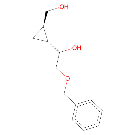 OC[C@@H]1C[C@H]1C(O)COCc1ccccc1